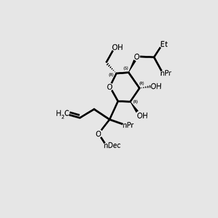 C=CCC(CCC)(OCCCCCCCCCC)C1O[C@H](CO)[C@@H](OC(CC)CCC)[C@H](O)[C@H]1O